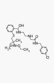 C=CC(C)(CSc1ccccc1C(O)NCCNCC(=O)NCc1ccc(Cl)cc1)NOCC